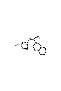 CC1=Nc2cc(Cl)ccc2C(C=O)N1Cc1ccccc1